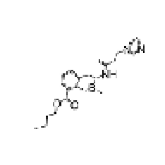 C=C(CCn1ccnc1)NC1Cc2cccc(C(=O)OCCCC)c2CB1C